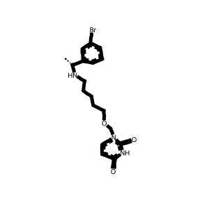 C[C@@H](NCCCCCOCn1ccc(=O)[nH]c1=O)c1cccc(Br)c1